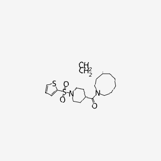 O=C(C1CCN(S(=O)(=O)c2cccs2)CC1)N1CC[CH]CCCCC1.[CH2].[CH2]